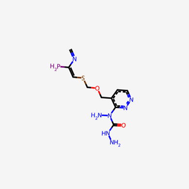 C=N/C(P)=C\SCOCc1ccnnc1N(N)C(=O)NN